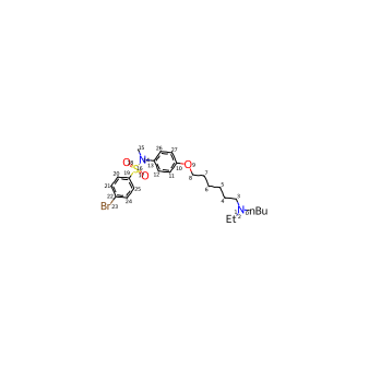 CCCCN(CC)CCCCCCOc1ccc(N(C)S(=O)(=O)c2ccc(Br)cc2)cc1